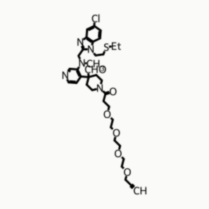 C#CCOCCOCCOCCOCCC(=O)N1CCC(C=O)(c2ccncc2N(C)Cc2nc3cc(Cl)ccc3n2CCSCC)CC1